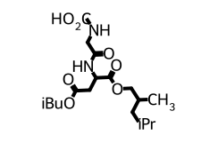 CC(C)COC(=O)CC(NC(=O)CNC(=O)O)C(=O)OCC(C)CC(C)C